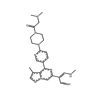 CN/C=C(\C=N)c1cn2ncc(C)c2c(-c2ccc(N3CCN(C(=O)CN(C)C)CC3)nc2)n1